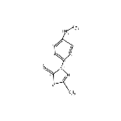 CNc1ccc(N2N=C(C)CC2=O)cc1